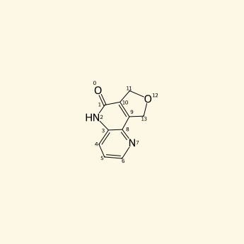 O=c1[nH]c2cccnc2c2c1COC2